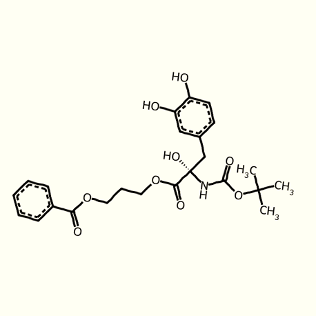 CC(C)(C)OC(=O)N[C@](O)(Cc1ccc(O)c(O)c1)C(=O)OCCCOC(=O)c1ccccc1